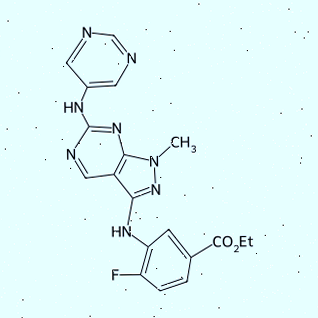 CCOC(=O)c1ccc(F)c(Nc2nn(C)c3nc(Nc4cncnc4)ncc23)c1